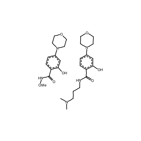 CN(C)CCCNC(=O)c1ccc(N2CCOCC2)cc1O.CONC(=O)c1ccc(N2CCOCC2)cc1O